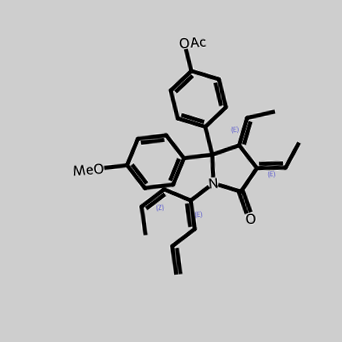 C=C/C=C(\C=C/C)N1C(=O)C(=C/C)/C(=C\C)C1(c1ccc(OC)cc1)c1ccc(OC(C)=O)cc1